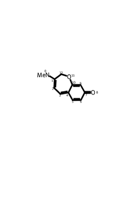 CNC1=CC=C2C=CC(=O)C=C2OC1